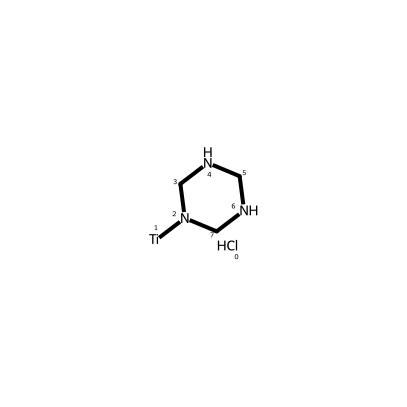 Cl.[Ti][N]1CNCNC1